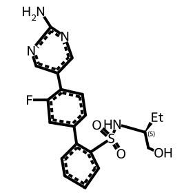 CC[C@@H](CO)NS(=O)(=O)c1ccccc1-c1ccc(-c2cnc(N)nc2)c(F)c1